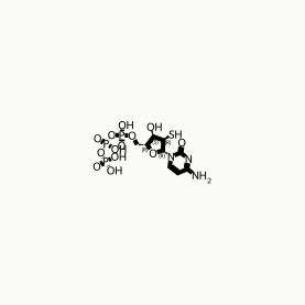 Nc1ccn([C@@H]2O[C@H](COP(=O)(O)OP(=O)(O)OP(=O)(O)O)[C@H](O)[C@H]2S)c(=O)n1